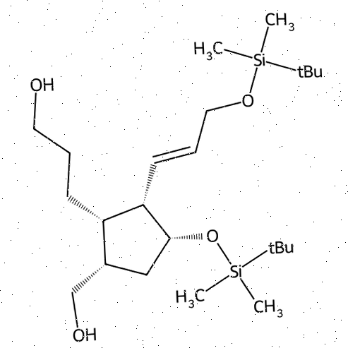 CC(C)(C)[Si](C)(C)OCC=C[C@H]1[C@@H](CCCO)[C@@H](CO)C[C@H]1O[Si](C)(C)C(C)(C)C